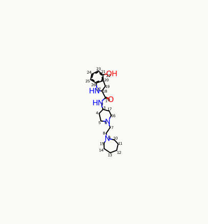 O=C(NC1CCN(CCN2CCCCCC2)CC1)C1Cc2c(O)cccc2N1